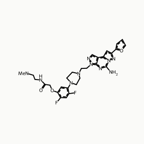 CNCCNC(=O)COc1cc(N2CCN(CCn3ncc4c3nc(N)n3nc(-c5ccco5)cc43)CC2)c(F)cc1F